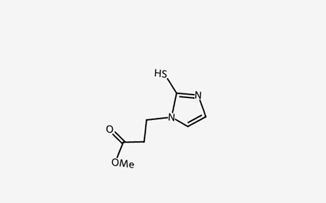 COC(=O)CCn1ccnc1S